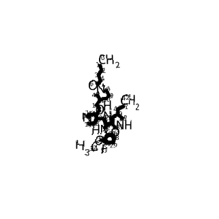 C=CCCCC(=O)N1CCCC(COc2cnccc2-c2[nH]c3c(c2Nc2cccc(F)c2OC)C(=O)NCC3CC=C)C1